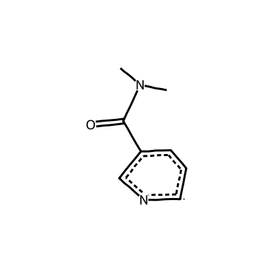 CN(C)C(=O)c1cc[c]nc1